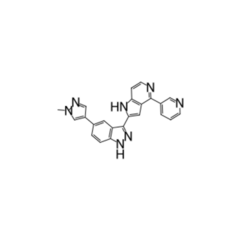 Cn1cc(-c2ccc3[nH]nc(-c4cc5c(-c6cccnc6)nccc5[nH]4)c3c2)cn1